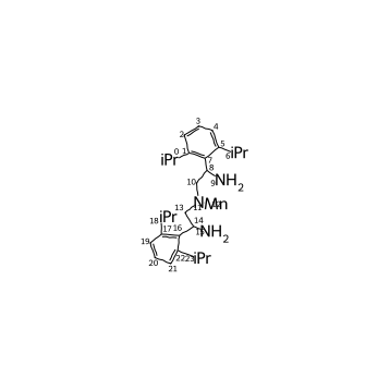 CC(C)c1cccc(C(C)C)c1C(N)C[N]([Mn])CC(N)c1c(C(C)C)cccc1C(C)C